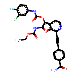 CCOC(=O)Nc1oc2c(C#Cc3ccc(C(N)=O)cc3)nccc2c1OC(=O)Nc1ccc(F)c(Cl)c1